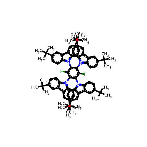 CC(C)(C)c1ccc2c(c1)c1cc(C(C)(C)C)ccc1n2-c1c(F)c(-n2c3ccc(C(C)(C)C)cc3c3cc(C(C)(C)C)ccc32)c(-n2c3ccc(C(C)(C)C)cc3c3cc(C(C)(C)C)ccc32)c(F)c1-n1c2ccc(C(C)(C)C)cc2c2cc(C(C)(C)C)ccc21